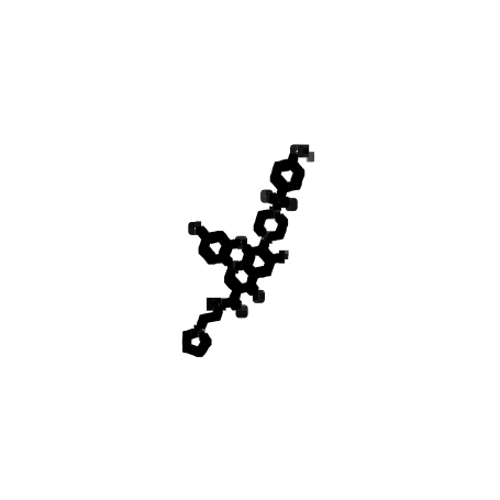 Cc1ccc(S(=O)(=O)N2CCN(c3c(F)cc4c(=O)c(C(=O)NCCN5CCCC5)cn5c4c3Oc3cc(Cl)ccc3-5)CC2)cc1